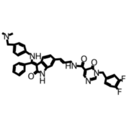 CN(C)Cc1ccc(NC(=C2C(=O)Nc3cc(C=CCNC(=O)c4cncn(Cc5ccc(F)c(F)c5)c4=O)ccc32)c2ccccc2)cc1